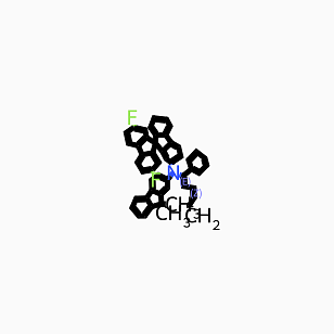 C=C/C=C\C=C(/c1ccccc1)N(c1ccc2c(c1)C(C)(C)c1ccccc1-2)c1ccc2c(c1)C1(c3ccccc3-2)c2cc(F)ccc2-c2ccc(F)cc21